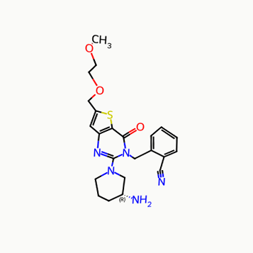 COCCOCc1cc2nc(N3CCC[C@@H](N)C3)n(Cc3ccccc3C#N)c(=O)c2s1